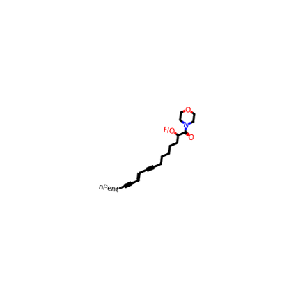 CCCCCC#CC=CC#CCCCCCC(O)C(=O)N1CCOCC1